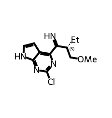 CC[C@H](COC)C(=N)c1nc(Cl)nc2[nH]ccc12